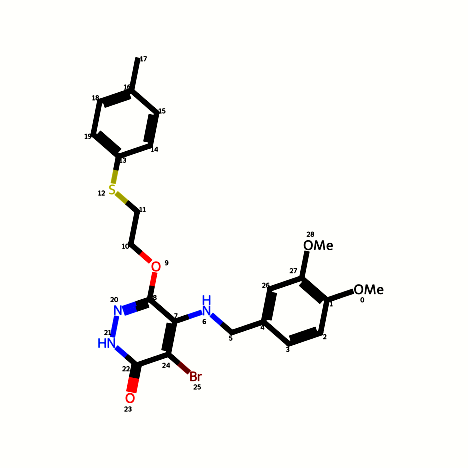 COc1ccc(CNc2c(OCCSc3ccc(C)cc3)n[nH]c(=O)c2Br)cc1OC